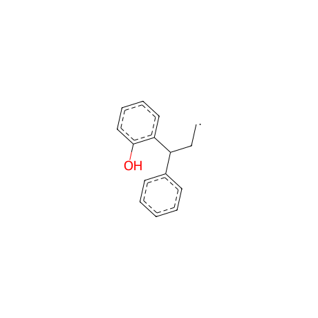 [CH2]CC(c1ccccc1)c1ccccc1O